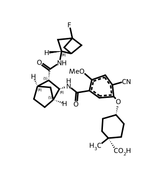 COc1cc(C#N)c(O[C@H]2CC[C@@](C)(C(=O)O)CC2)cc1C(=O)N[C@@H]1[C@H]2CC[C@H](C2)[C@@H]1C(=O)N[C@@H]1CC2(F)CC1C2